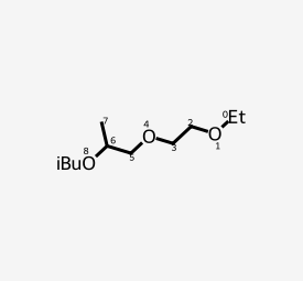 CCOCCOCC(C)OCC(C)C